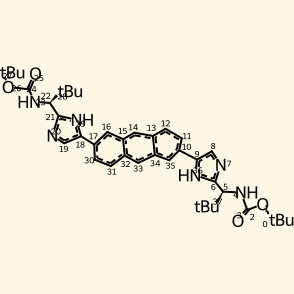 CC(C)(C)OC(=O)N[C@H](c1ncc(-c2ccc3cc4cc(-c5cnc([C@@H](NC(=O)OC(C)(C)C)C(C)(C)C)[nH]5)ccc4cc3c2)[nH]1)C(C)(C)C